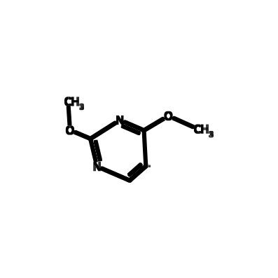 COc1[c]cnc(OC)n1